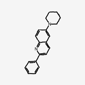 c1ccc(-c2ccc3cc(N4CCCCC4)ccc3n2)cc1